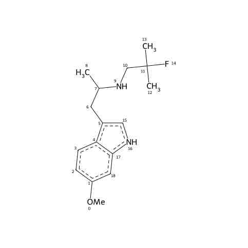 COc1ccc2c(CC(C)NCC(C)(C)F)c[nH]c2c1